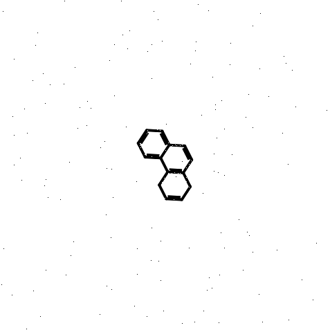 C1=CCc2c(ccc3ccccc23)C1